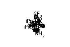 CC(C)C(=O)O[C@H]1[C@H](c2ccc3c(N)ncnn23)O[C@](C#N)(CO[P@@](=O)(NC(C)C(=O)O[C@H]2CC[C@H](C(F)(F)F)CC2)Oc2ccccc2)[C@H]1OC(=O)C(C)C